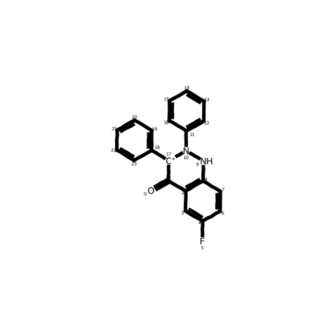 O=c1c2cc(F)ccc2[nH]n(-c2ccccc2)[c+]1-c1ccccc1